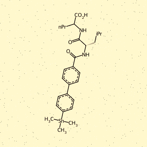 CCCC(NC(=O)[C@H](CC(C)C)NC(=O)c1ccc(-c2cc[c]([Sn]([CH3])([CH3])[CH3])cc2)cc1)C(=O)O